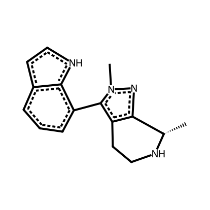 C[C@@H]1NCCc2c1nn(C)c2-c1cccc2cc[nH]c12